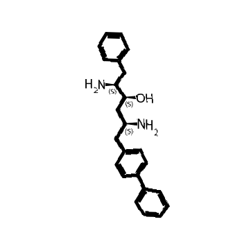 N[C@@H](Cc1ccc(-c2ccccc2)cc1)C[C@H](O)[C@@H](N)Cc1ccccc1